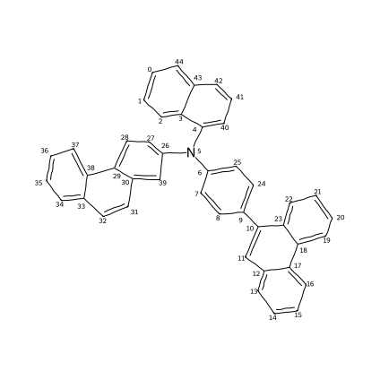 c1ccc2c(N(c3ccc(-c4cc5ccccc5c5ccccc45)cc3)c3ccc4c(ccc5ccccc54)c3)cccc2c1